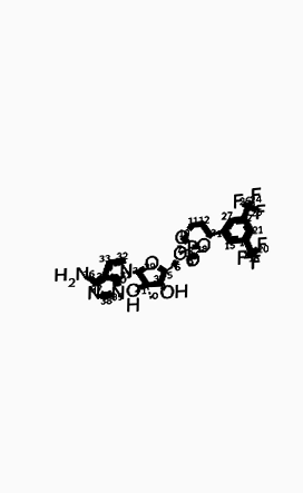 C[C@@]1(O)[C@H](O)[C@@H](CO[P@@]2(=O)OCC[C@@H](c3cc(C(F)(F)F)cc(C(F)(F)F)c3)O2)O[C@H]1n1ccc2c(N)ncnc21